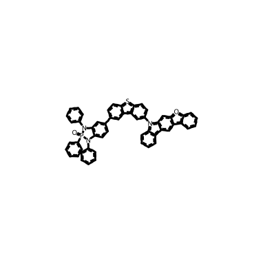 O=P1(c2ccccc2)N(c2ccccc2)c2ccc(-c3ccc4sc5ccc(-n6c7ccccc7c7cc8c(cc76)oc6ccccc68)cc5c4c3)cc2N1c1ccccc1